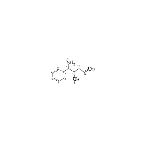 NC(c1ccccc1)C(O)CC=O